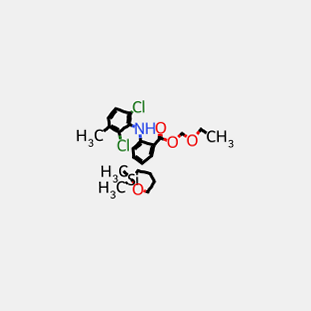 CCOCOC(=O)c1ccccc1Nc1c(Cl)ccc(C)c1Cl.C[Si]1(C)CCCCO1